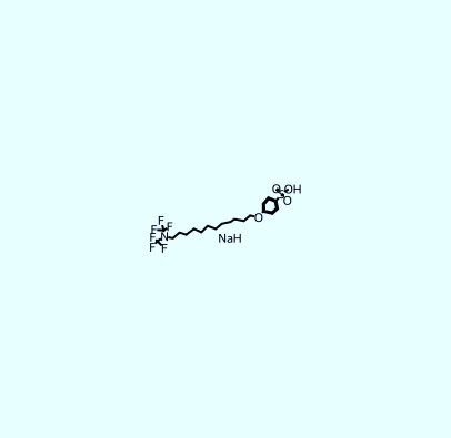 O=S(=O)(O)c1ccc(OCCCCCCCCCCCCN(C(F)(F)F)C(F)(F)F)cc1.[NaH]